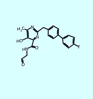 Cc1nc(Cc2ccc(-c3ccc(F)cc3)cc2)nc(C(=O)NCC=O)c1O